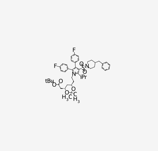 CC(C)c1c(S(=O)(=O)N2CCC(Cc3ccccc3)CC2)c(-c2ccc(F)cc2)c(-c2ccc(F)cc2)n1CC[C@@H]1C[C@H](CC(=O)OC(C)(C)C)OC(C)(C)O1